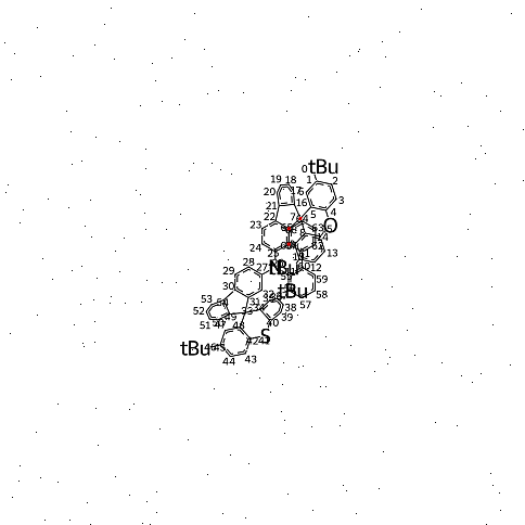 CC(C)(C)c1ccc2c(c1)C1(c3cc(C(C)(C)C)ccc3O2)c2ccccc2-c2ccc(N(c3ccc4c(c3)C3(c5cc(C(C)(C)C)ccc5Sc5ccc(C(C)(C)C)cc53)c3ccccc3-4)c3ccccc3-c3ccccc3)cc21